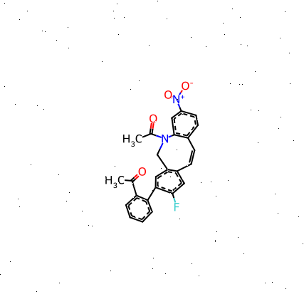 CC(=O)c1ccccc1-c1cc2c(cc1F)C=Cc1ccc([N+](=O)[O-])cc1N(C(C)=O)C2